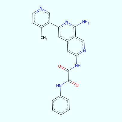 Cc1ccncc1-c1cc2cc(NC(=O)C(=O)Nc3ccccc3)ncc2c(N)n1